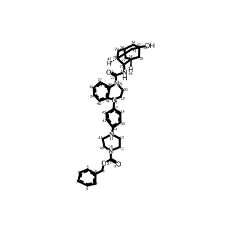 O=C(OCc1ccccc1)N1CCN(c2ccc(N3CCN(C(=O)NC4[C@@H]5CC6C[C@H]4CC(O)(C6)C5)c4ccccc43)cc2)CC1